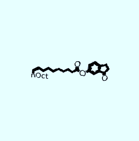 CCCCCCCC/C=C\CCCCCCCC(=O)Oc1ccc2c(c1)C(=O)CC2